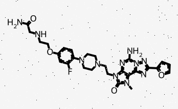 Cn1c(=O)n(CCN2CCN(c3ccc(OCCNCC(N)=O)cc3F)CC2)c2nc(N)n3nc(-c4ccco4)nc3c21